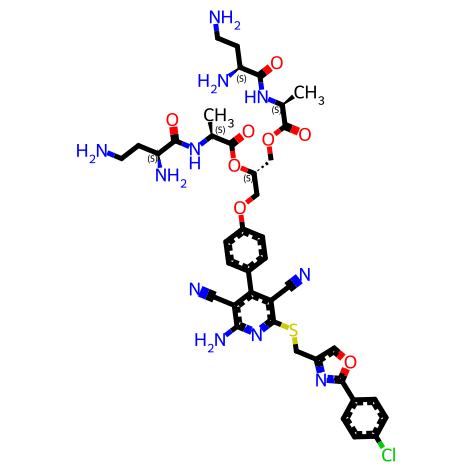 C[C@H](NC(=O)[C@@H](N)CCN)C(=O)OC[C@H](COc1ccc(-c2c(C#N)c(N)nc(SCc3coc(-c4ccc(Cl)cc4)n3)c2C#N)cc1)OC(=O)[C@H](C)NC(=O)[C@@H](N)CCN